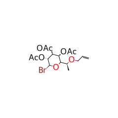 C=CCO[C@@H](C)[C@H]1OC(Br)[C@H](OC(C)=O)[C@@H](OC(C)=O)[C@H]1OC(C)=O